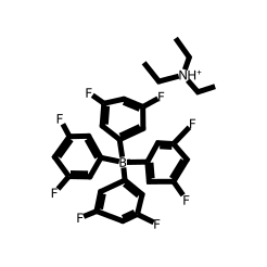 CC[NH+](CC)CC.Fc1cc(F)cc([B-](c2cc(F)cc(F)c2)(c2cc(F)cc(F)c2)c2cc(F)cc(F)c2)c1